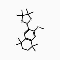 COc1cc2c(cc1B1OC(C)(C)C(C)(C)O1)C(C)(C)CCC2(C)C